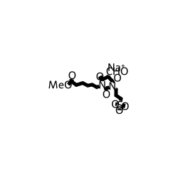 COC(=O)CCCCCN1C(=O)C(C=O)C(=O)N(CCCS(=O)(=O)[O-])C1=O.[Na+]